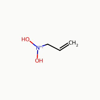 C=CC[N+](O)O